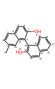 Cc1ccc2ccc(O)c(-c3c(O)ccc4ccccc34)c2c1